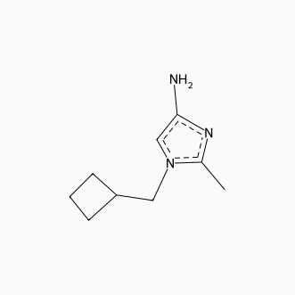 Cc1nc(N)cn1CC1CCC1